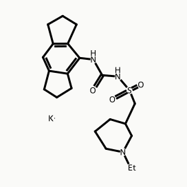 CCN1CCCC(CS(=O)(=O)NC(=O)Nc2c3c(cc4c2CCC4)CCC3)C1.[K]